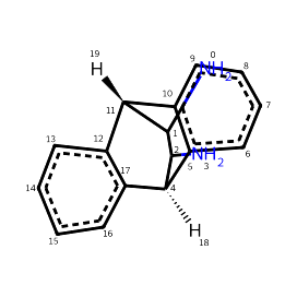 NC1C(N)[C@H]2c3ccccc3[C@H]1c1ccccc12